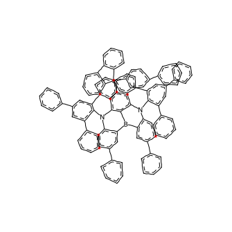 c1ccc(-c2ccc(C3(c4cc5c6c(c4)N(c4c(-c7ccccc7)cc(-c7ccccc7)cc4-c4ccccc4)c4ccc(-c7ccccc7)cc4B6c4cc(-c6ccccc6)ccc4N5c4c(-c5ccccc5)cc(-c5ccccc5)cc4-c4ccccc4)c4ccccc4-c4ccccc43)cc2)cc1